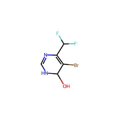 OC1NC=NC(C(F)F)=C1Br